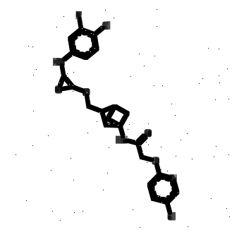 O=C(COc1ccc(Cl)cn1)NC12CC(COC3OC3Nc3ccc(Cl)c(F)c3)C(C1)C2